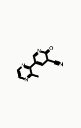 Cc1nccnc1C1=CC(C#N)C(=O)N=C1